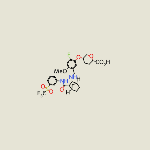 COc1cc(F)c(O[C@@H]2CC[C@H](C(=O)O)OC2)cc1CN[C@@H]1[C@H]2CC[C@H](C2)[C@@H]1C(=O)Nc1cccc(S(=O)(=O)C(F)(F)F)c1